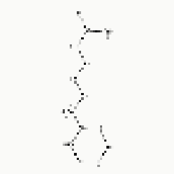 CCC(O)OCCC[SiH2]C1CCCCO1